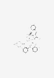 CN1CCN(C(=O)OC[C@@]2(C)[C@H](C(=O)OC(c3ccccc3)c3ccccc3)N3C(=O)/C(=C/c4ccccn4)[C@H]3S2(=O)=O)CC1